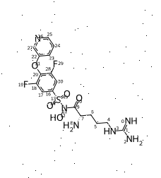 N=C(N)NCCC[C@H](N)C(=O)N(O)S(=O)(=O)c1cc(F)c(Oc2cccnc2)c(F)c1